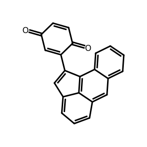 O=C1C=CC(=O)C(C2=Cc3cccc4cc5ccccc5c2c34)=C1